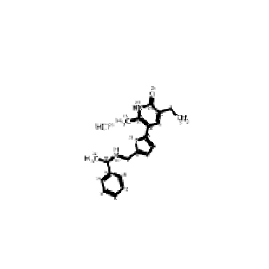 CCc1cc(-c2ccc(CNC(C)c3ccccc3)s2)c(C)[nH]c1=O.Cl